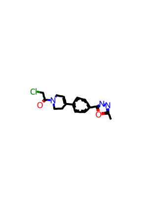 Cc1nnc(-c2ccc(C3=CCN(C(=O)CCl)CC3)cc2)o1